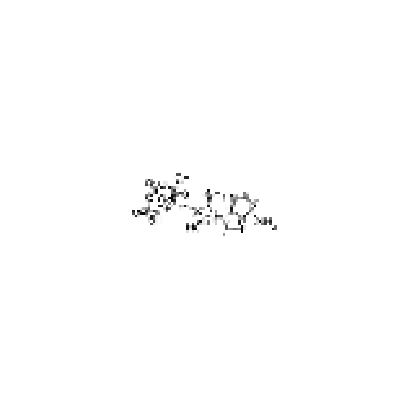 C=C1[C@@H](n2cnc3c(N)ncnc32)C(C#N)[C@H]1COP(=O)(O)OP(=O)(O)OP(=O)(O)O